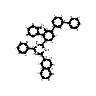 c1ccc(-c2cccc(-c3ccc(-c4nc(-c5ccccc5)nc(-c5ccc6ccccc6c5)n4)c4c3oc3ccccc34)c2)cc1